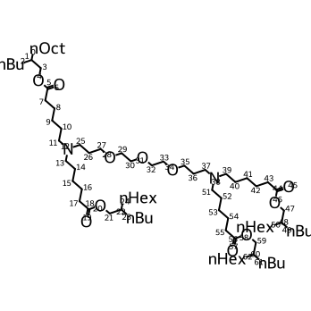 CCCCCCCCC(CCCC)COC(=O)CCCCCN(CCCCCC(=O)OCC(CCCC)CCCCCC)CCCOCCOCCOCCCN(CCCCCC(=O)OCC(CCCC)CCCCCC)CCCCCC(=O)OCC(CCCC)CCCCCC